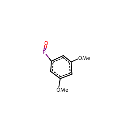 COc1cc(OC)cc(P=O)c1